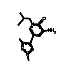 Cc1nn(C)cc1-c1cc(N)c(=O)n(CC(C)C)c1